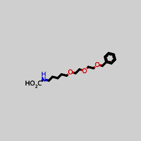 O=C(O)NCCCCCOCCOCCOCc1ccccc1